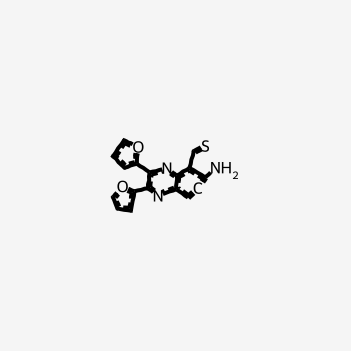 Nc1ccc2nc(-c3ccco3)c(-c3ccco3)nc2c1C=S